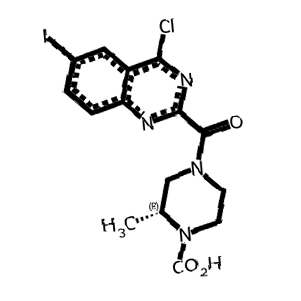 C[C@@H]1CN(C(=O)c2nc(Cl)c3cc(I)ccc3n2)CCN1C(=O)O